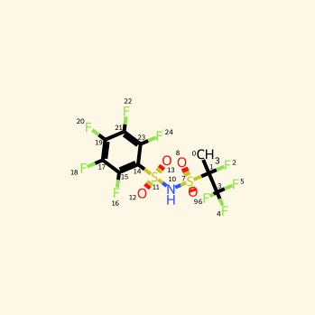 CC(F)(C(F)(F)F)S(=O)(=O)NS(=O)(=O)c1c(F)c(F)c(F)c(F)c1F